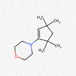 CC1(C)C=C(N2CCOCC2)C(C)(C)C1